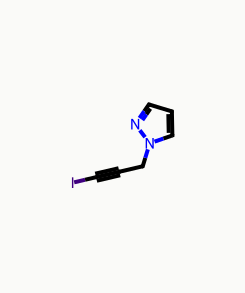 IC#CCn1cccn1